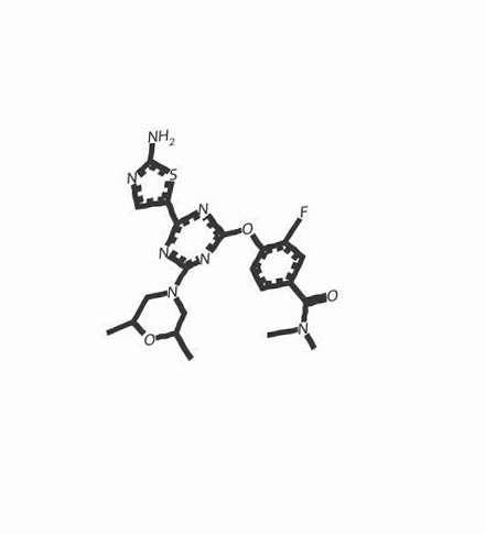 CC1CN(c2nc(Oc3ccc(C(=O)N(C)C)cc3F)nc(-c3cnc(N)s3)n2)CC(C)O1